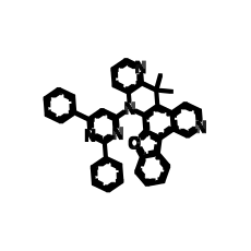 CC1(C)c2ncccc2N(c2cc(-c3ccccc3)nc(-c3ccccc3)n2)c2c1c1ccncc1c1c2oc2ccccc21